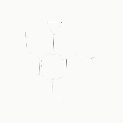 CCOc1cc(C=O)c(C)c(OCC)c1C1CC1